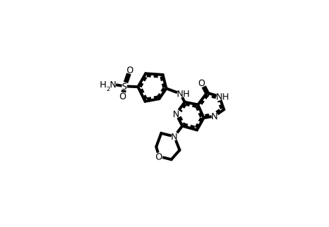 NS(=O)(=O)c1ccc(Nc2nc(N3CCOCC3)cc3nc[nH]c(=O)c23)cc1